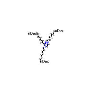 CCCCCCCCCCCCCCCCCn1cc[n+](CCCCCCCCCCCCCCCCC)c1CCCCCCCCCCCCCCCC